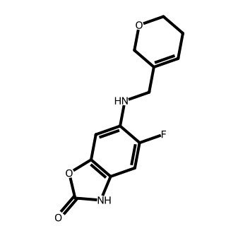 O=c1[nH]c2cc(F)c(NCC3=CCCOC3)cc2o1